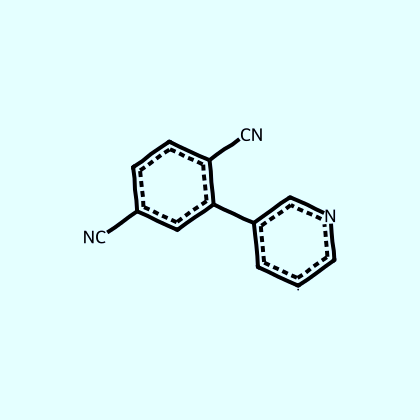 N#Cc1ccc(C#N)c(-c2c[c]cnc2)c1